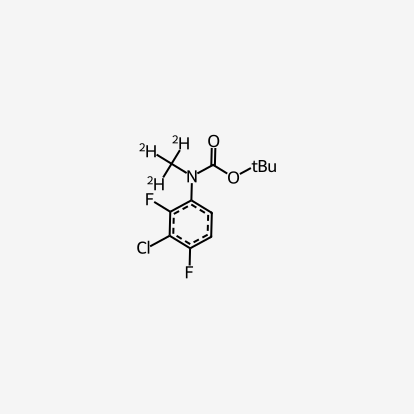 [2H]C([2H])([2H])N(C(=O)OC(C)(C)C)c1ccc(F)c(Cl)c1F